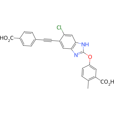 Cc1ccc(Oc2nc3cc(C#Cc4ccc(C(=O)O)cc4)c(Cl)cc3[nH]2)cc1C(=O)O